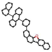 c1cc(-c2ccc3ccc4c5cc6ccccc6cc5oc4c3c2)cc(-c2c3ccccc3c(-c3cccc4ccccc34)c3ccccc23)c1